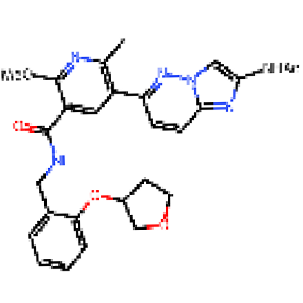 COc1nc(C)c(-c2ccc3nc(NC(C)=O)cn3n2)cc1C(=O)NCc1ccccc1OC1CCOC1